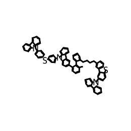 Cc1cccc(-c2ccc3c(c2)c2ccccc2n3-c2ccc(Sc3ccc(-n4c5ccccc5c5ccccc54)cc3)cc2)c1-c1ccccc1CCCCc1ccc2sc3ccc(-n4c5ccccc5c5ccccc54)cc3c2c1